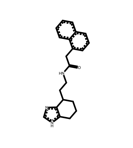 O=C(Cc1cccc2ccccc12)NCCC1CCCc2[nH]cnc21